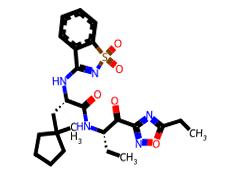 CCc1nc(C(=O)[C@H](CC)NC(=O)[C@H](CC2(C)CCCC2)NC2=NS(=O)(=O)c3ccccc32)no1